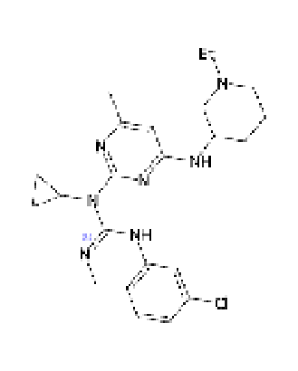 CCN1CCCC(Nc2cc(C)nc(N(/C(=N/C)Nc3cccc(Cl)c3)C3CC3)n2)C1